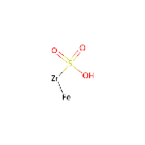 O=[S](=O)(O)[Zr][Fe]